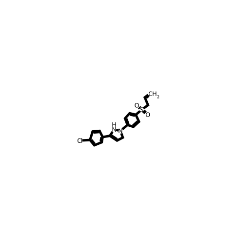 C=CCS(=O)(=O)c1ccc(N2CC=C(c3ccc(Cl)cc3)N2)cc1